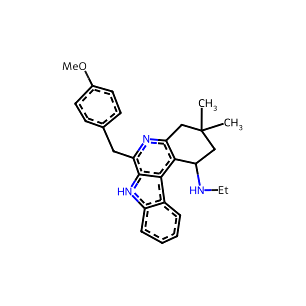 CCNC1CC(C)(C)Cc2nc(Cc3ccc(OC)cc3)c3[nH]c4ccccc4c3c21